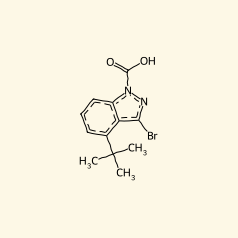 CC(C)(C)c1cccc2c1c(Br)nn2C(=O)O